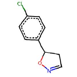 Clc1ccc(C2CC=NO2)cc1